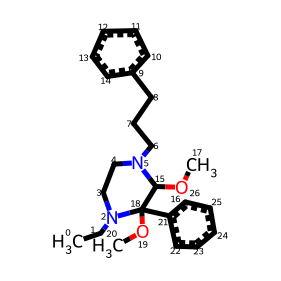 CCN1CCN(CCCc2ccccc2)C(OC)C1(OC)c1ccccc1